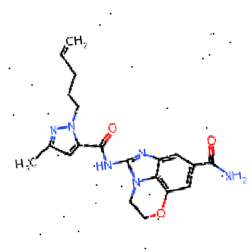 C=CCCCn1nc(C)cc1C(=O)Nc1nc2cc(C(N)=O)cc3c2n1CCO3